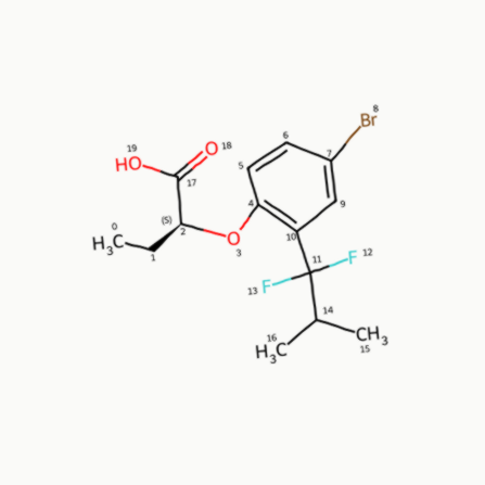 CC[C@H](Oc1ccc(Br)cc1C(F)(F)C(C)C)C(=O)O